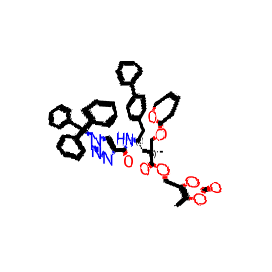 Cc1oc(=O)oc1COC(=O)[C@](C)(COC1CCCCO1)C[C@@H](Cc1ccc(-c2ccccc2)cc1)NC(=O)c1cn(C(c2ccccc2)(c2ccccc2)c2ccccc2)nn1